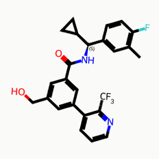 Cc1cc([C@@H](NC(=O)c2cc(CO)cc(-c3cccnc3C(F)(F)F)c2)C2CC2)ccc1F